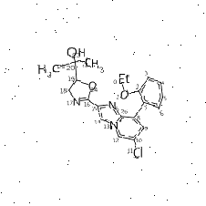 CCOc1ccccc1-c1cc(Cl)cn2cc(C3=NCC(C(C)(C)O)O3)nc12